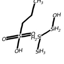 CCCS(=O)(=O)O.O[SiH2][SiH2][SiH3]